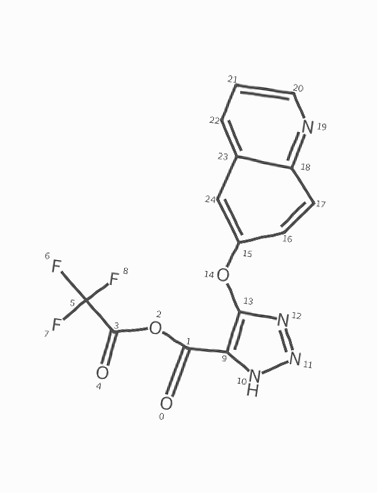 O=C(OC(=O)C(F)(F)F)c1[nH]nnc1Oc1ccc2ncccc2c1